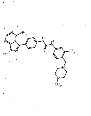 CC(C)n1nc(-c2ccc(NC(=O)Nc3ccc(CN4CCN(C)CC4)c(C(F)(F)F)c3)cc2)c2c(N)ncnc21